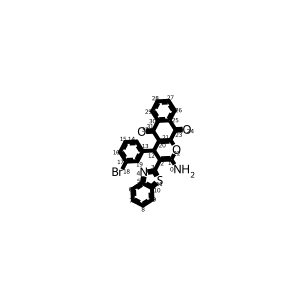 NC1=C(c2nc3ccccc3s2)C(c2cccc(Br)c2)C2=C(O1)C(=O)c1ccccc1C2=O